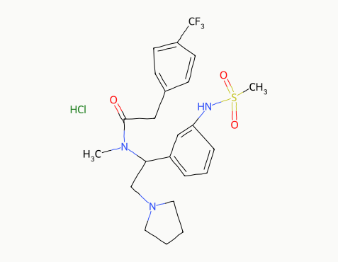 CN(C(=O)Cc1ccc(C(F)(F)F)cc1)C(CN1CCCC1)c1cccc(NS(C)(=O)=O)c1.Cl